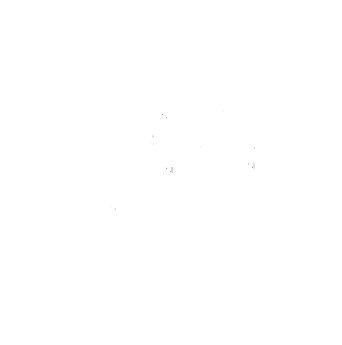 Fc1cc2ncnc(NC3CCC(N4CCOCC4)CC3)c2cc1-c1cn[nH]c1